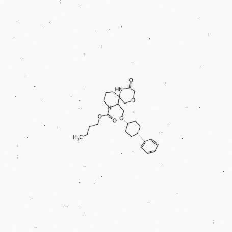 CCCCOC(=O)N1CCCC2(COCC(=O)N2)C1CO[C@H]1CC[C@@H](c2ccccc2)CC1